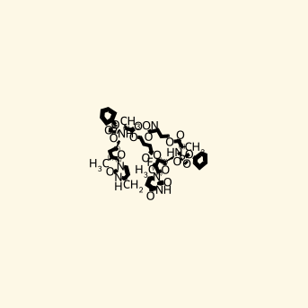 C=C1C=CN([C@@H]2O[C@H](COP(=O)(N[C@@H](C)C(=O)OCCCC(=O)O[C@@H]3[C@@H](COP(=O)(N[C@@H](C)C(=O)OCCCC(=O)N=O)Oc4ccccc4)O[C@@H](n4ccc(=O)[nH]c4=O)[C@]3(C)F)Oc3ccccc3)C[C@@H]2C)C(=O)N1